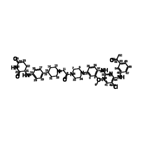 COc1cc(N2CCN(C(=O)CN3CCC(c4ccc(NC5CCC(=O)NC5=O)cc4)CC3)CC2)ccc1Nc1ncc(Cl)c(Nc2cccc(C(C)=O)c2)n1